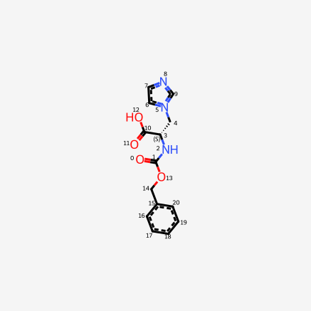 O=C(N[C@@H](Cn1ccnc1)C(=O)O)OCc1ccccc1